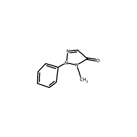 Cn1c(=O)cnn1-c1ccccc1